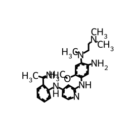 COc1cc(N(C)CCN(C)C)c(N)cc1Nc1cc(Nc2ccccc2C(C)=N)ccn1